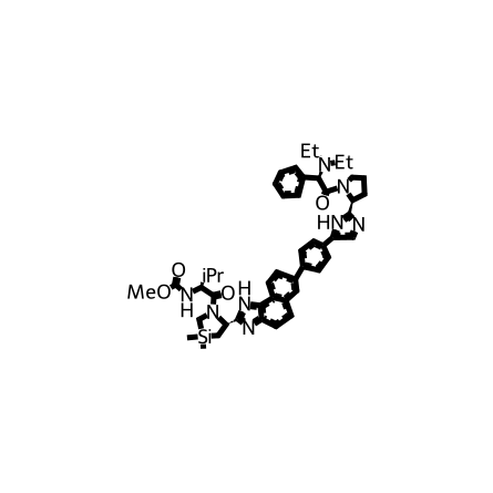 CCN(CC)[C@@H](C(=O)N1CCC[C@H]1c1ncc(-c2ccc(-c3ccc4c(ccc5nc([C@@H]6C[Si](C)(C)CN6C(=O)[C@@H](NC(=O)OC)C(C)C)[nH]c54)c3)cc2)[nH]1)c1ccccc1